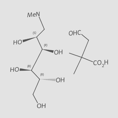 CC(C)(CC=O)C(=O)O.CNC[C@H](O)[C@@H](O)[C@H](O)[C@H](O)CO